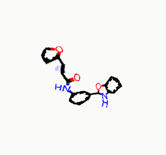 O=C(/C=C/c1ccco1)Nc1cccc(C2Nc3ccccc3O2)c1